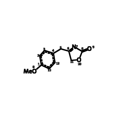 COc1ccc(CC2=NC(=O)OC2)cc1